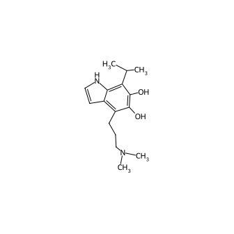 CC(C)c1c(O)c(O)c(CCCN(C)C)c2cc[nH]c12